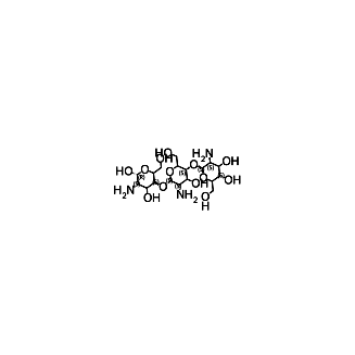 N[C@H]1C(O)[C@H](O)C(CO)O[C@H]1O[C@@H]1C(CO)O[C@@H](O[C@@H]2C(CO)O[C@@H](O)[C@@H](N)C2O)[C@@H](N)C1O